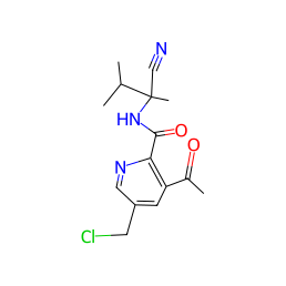 CC(=O)c1cc(CCl)cnc1C(=O)NC(C)(C#N)C(C)C